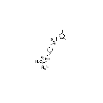 CC(C)(C)C(=O)NCCN1CCC(CNC(=O)/C=C/c2cc(F)cc(F)c2)CC1